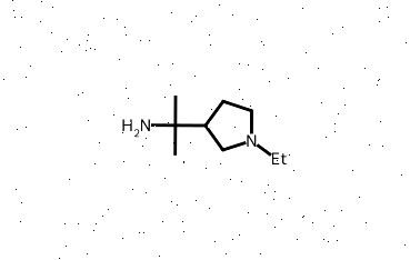 CCN1CCC(C(C)(C)N)C1